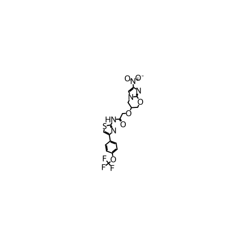 O=C(COC1COc2nc([N+](=O)[O-])cn2C1)Nc1nc(-c2ccc(OC(F)(F)F)cc2)cs1